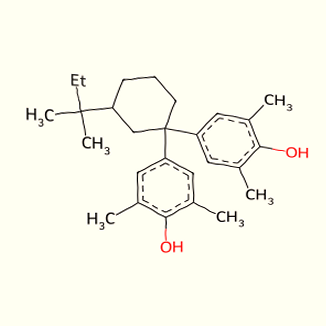 CCC(C)(C)C1CCCC(c2cc(C)c(O)c(C)c2)(c2cc(C)c(O)c(C)c2)C1